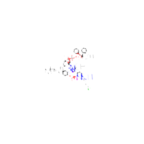 COc1ccc(COC(=O)c2nc(NCCCCCCl)ccc2-c2cnn(CC34CC5(C)CC(C)(C3)CC(OCCO[Si](c3ccccc3)(c3ccccc3)C(C)(C)C)(C5)C4)c2C)cc1